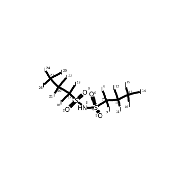 O=S(=O)(NS(=O)(=O)C(I)(I)C(I)(I)C(I)(I)I)C(I)(I)C(I)(I)C(I)(I)I